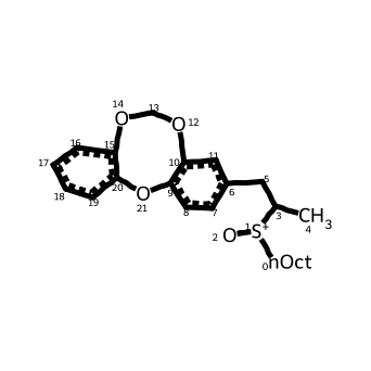 CCCCCCCC[S+]([O-])C(C)Cc1ccc2c(c1)OCOc1ccccc1O2